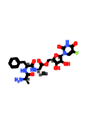 CC[C@H](C)[C@H](NC(=O)[C@H](Cc1ccccc1)NC(=O)[C@H](C)N)C(=O)OC[C@@H]1O[C@H](n2cc(F)c(=O)[nH]c2=O)C(O)C1O